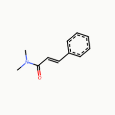 CN(C)C(=O)C=Cc1ccccc1